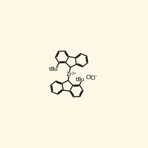 CC(C)(C)c1cccc2c1[CH]([Zr+2][CH]1c3ccccc3-c3cccc(C(C)(C)C)c31)c1ccccc1-2.[Cl-].[Cl-]